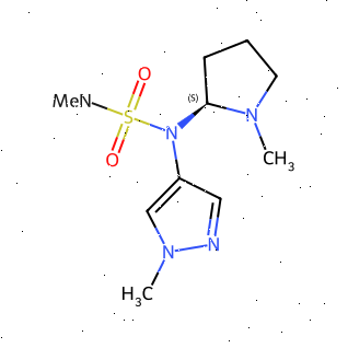 CNS(=O)(=O)N(c1cnn(C)c1)[C@H]1CCCN1C